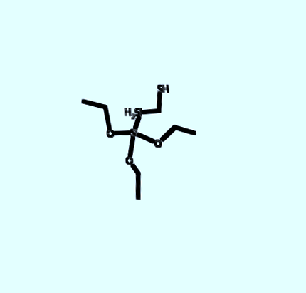 CCO[Si](OCC)(OCC)[SiH2]CS